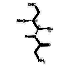 CC[C@H](C)[C@@H]([C@@H](CC=O)OC)N(C)C(=O)CN